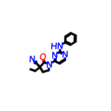 CCC1(C#N)CCN(c2ccnc(Nc3ccccc3)n2)C1=O